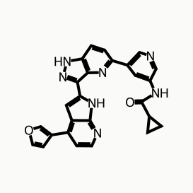 O=C(Nc1cncc(-c2ccc3[nH]nc(-c4cc5c(-c6ccoc6)ccnc5[nH]4)c3n2)c1)C1CC1